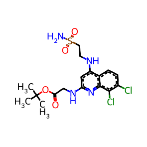 CC(C)(C)OC(=O)CNc1cc(NCCS(N)(=O)=O)c2ccc(Cl)c(Cl)c2n1